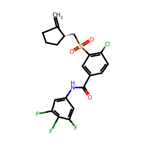 C=C1CCC[C@H]1CS(=O)(=O)c1cc(C(=O)Nc2cc(F)c(F)c(F)c2)ccc1Cl